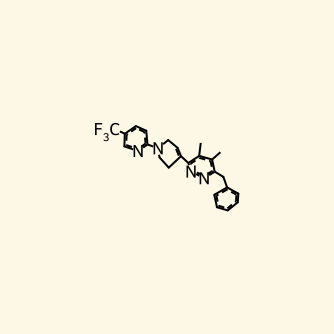 Cc1c(Cc2ccccc2)nnc(C2=CCN(c3ccc(C(F)(F)F)cn3)CC2)c1C